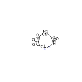 COc1cc2cc(c1Cl)N(C)C(=O)CC[C@@H]1OC1CC1CC(C/C=C/C=C(\C)C2)NC(=O)O1